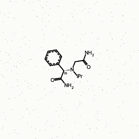 CC(C)N(CC(N)=O)[C@H](C(N)=O)c1ccccc1